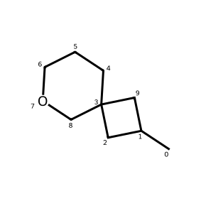 CC1CC2(CCCOC2)C1